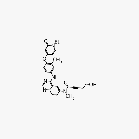 CCn1ccc(Oc2ccc(Nc3ncnc4ccc(N(C)C(=O)C#CCCO)cc34)cc2C)cc1=O